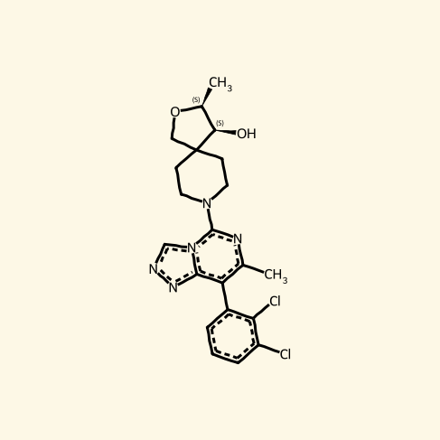 Cc1nc(N2CCC3(CC2)CO[C@@H](C)[C@H]3O)n2cnnc2c1-c1cccc(Cl)c1Cl